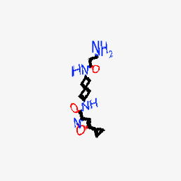 NCCC(=O)N[C@H]1CC2(C1)C[C@H](NC(=O)c1cc(C3CC3)on1)C2